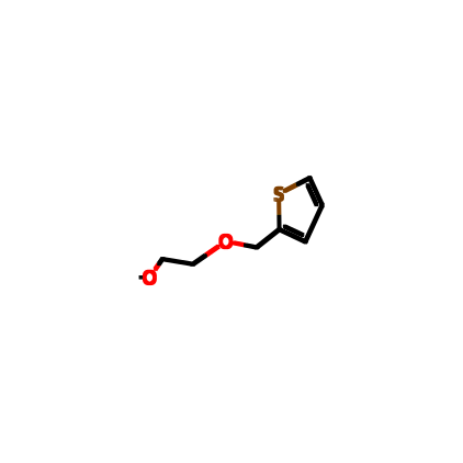 [O]CCOCc1cccs1